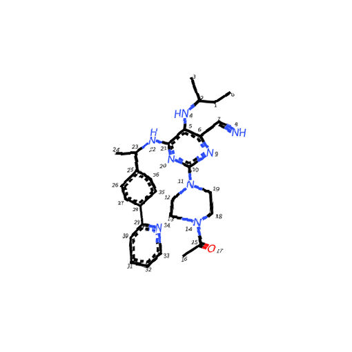 CCC(C)Nc1c(C=N)nc(N2CCN(C(C)=O)CC2)nc1NC(C)c1ccc(-c2ccccn2)cc1